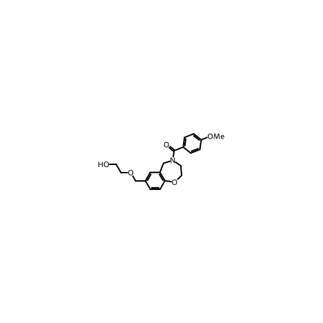 COc1ccc(C(=O)N2CCOc3ccc(COCCO)cc3C2)cc1